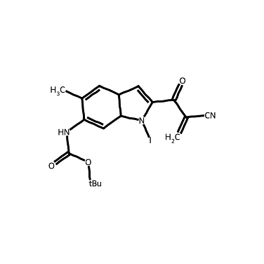 C=C(C#N)C(=O)C1=CC2C=C(C)C(NC(=O)OC(C)(C)C)=CC2N1I